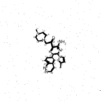 Cc1ccn(-c2nc(N)c(C(=O)CN3CCN(C)CC3)nc2-c2ccc3nnccc3c2)n1